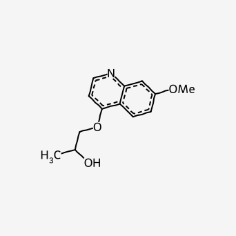 COc1ccc2c(OCC(C)O)ccnc2c1